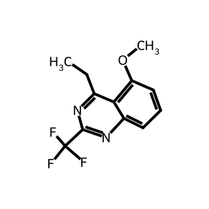 CCc1nc(C(F)(F)F)nc2cccc(OC)c12